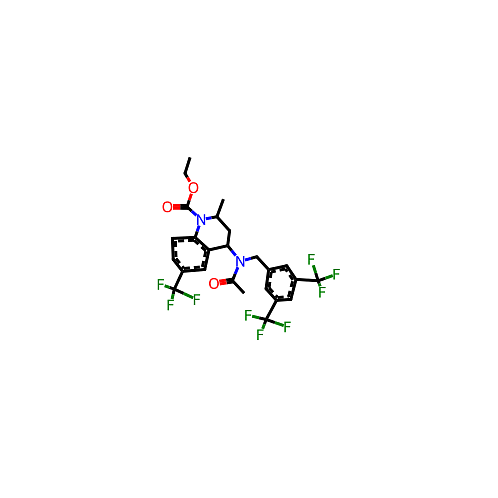 CCOC(=O)N1c2ccc(C(F)(F)F)cc2C(N(Cc2cc(C(F)(F)F)cc(C(F)(F)F)c2)C(C)=O)CC1C